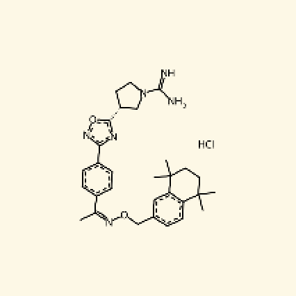 C/C(=N/OCc1ccc2c(c1)C(C)(C)CCC2(C)C)c1ccc(-c2noc([C@@H]3CCN(C(=N)N)C3)n2)cc1.Cl